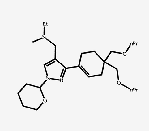 [CH2]CN(C)Cc1cn(C2CCCCO2)nc1C1=CCC(COCCC)(COCCC)CC1